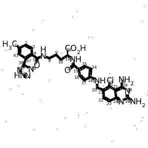 Cc1ccc(C(=O)NCCC[C@H](NC(=O)c2ccc(NCc3ccc4nc(N)nc(N)c4c3Cl)cc2)C(=O)O)c(-c2nn[nH]n2)c1